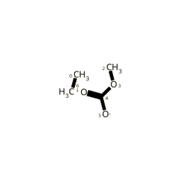 CC.COC([O])=O